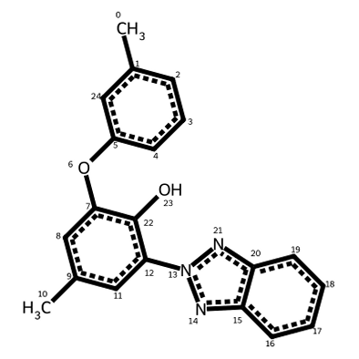 Cc1cccc(Oc2cc(C)cc(-n3nc4ccccc4n3)c2O)c1